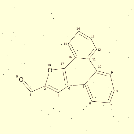 O=Cc1cc2c3ccccc3c3ccccc3c2o1